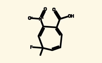 CC1(F)C=CC=C(C(=O)O)C([N+](=O)[O-])=C1